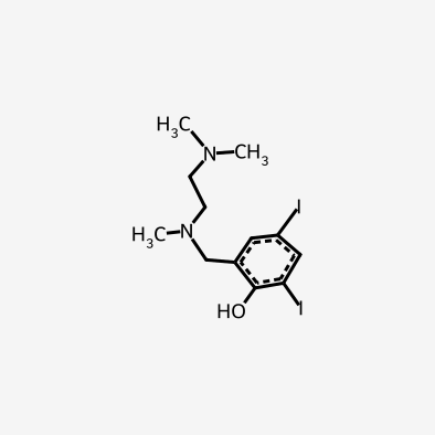 CN(C)CCN(C)Cc1cc(I)cc(I)c1O